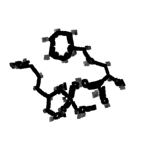 CCCCCCCCCCCCC(CO)NS(=O)(=O)CCCCCCCCCC.O=P(=O)C(O)COCc1ccccc1